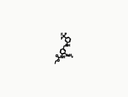 CCOC(=O)Nc1ccc(CNc2cccc(C(F)(F)F)c2)cc1[AsH2]